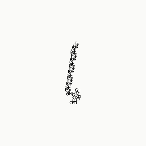 O=C(NCC(CCC[Si](Cl)(Cl)Cl)(CCC[Si](Cl)(Cl)Cl)CCC[Si](Cl)(Cl)Cl)C(F)(F)C(F)(F)C(F)(F)OC(F)(F)C(F)(F)OC(F)(F)C(F)(F)C(F)(F)C(F)(F)OC(F)(F)C(F)(F)OC(F)(F)C(F)(F)C(F)(F)C(F)(F)OC(F)(F)C(F)(F)OC(F)(F)C(F)(F)C(F)(F)C(F)(F)OC(F)(F)C(F)(F)OC(F)(F)F